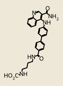 NC(=O)c1cnc2ccccc2c1Nc1ccc(-c2ccc(C(=O)NCCCCNC(=O)O)cc2)cc1